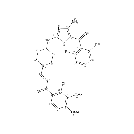 COc1ccc(C(=O)C=CN2CCC(Nc3nc(N)c(C(=O)c4c(F)cccc4F)s3)CC2)c(Cl)c1OC